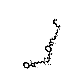 C=C(/C=C/N=C\CC)OCCCO/C=C/C/N=C\C1CC(C2=C/CC=CC(NCCNCC(NC(=O)CCCCCN3C(=O)CC(C4CCCCCCC4)C3=O)C(C)C)/C=C\2)=CN1